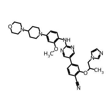 COc1cc(N2CCC(N3CCOCC3)CC2)ccc1Nc1ncc(-c2ccc(C#N)c(OC(C)Cn3ccnc3)c2)cn1